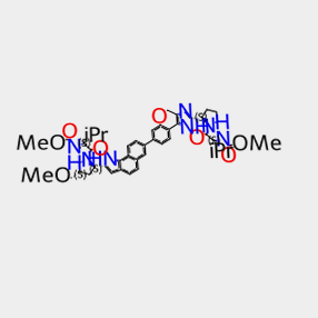 COC[C@H]1C[C@@H](c2cc3ccc4cc(-c5ccc6c(c5)OCc5nc([C@@H]7CCCN7C(=O)[C@@H](NC(=O)OC)C(C)C)[nH]c5-6)ccc4c3[nH]2)N(C(=O)[C@@H](NC(=O)OC)C(C)C)C1